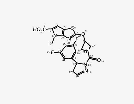 Cn1c(C(=O)O)cc2sc(OC3CN(C(=O)N4N=CCC4c4cc(F)cc(F)c4)C3)nc21